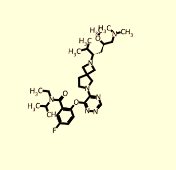 CCN(C(=O)c1cc(F)ccc1Oc1nncnc1N1CCC2(C1)CN([C@@H](C[C@H](CN(C)C)OC)C(C)C)C2)C(C)C